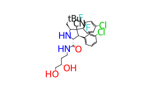 CC(C)(C)C[C@@H]1N[C@@H](C(=O)NCC[C@H](O)CO)[C@H](c2cccc(Cl)c2F)[C@@]1(C#N)c1ccc(Cl)cc1F